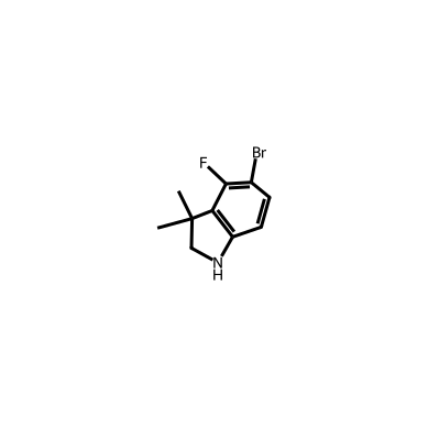 CC1(C)CNc2ccc(Br)c(F)c21